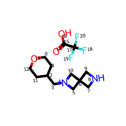 C1CC(CN2CC3(CNC3)C2)CCO1.O=C(O)C(F)(F)F